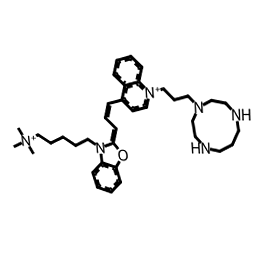 C[N+](C)(C)CCCCCN1/C(=C\C=C/c2cc[n+](CCCN3CCNCCCNCC3)c3ccccc23)Oc2ccccc21